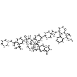 CC(C)c1ccccc1[C@@H]1COCCN1C1CC2(CCN(c3ccc(C(=O)NS(=O)(=O)c4ccc(NCC5CCOCC5)c([N+](=O)[O-])c4)c(N4c5cc6cc[nH]c6nc5O[C@H]5COCC[C@@H]54)c3)CC2)C1